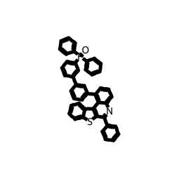 O=P(c1ccccc1)(c1ccccc1)c1cccc(-c2cccc(-c3cccc4nc(-c5ccccc5)c5sc6ccccc6c5c34)c2)c1